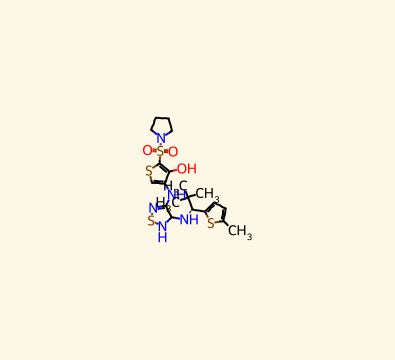 Cc1ccc([C@H](NC2NSN=C2Nc2csc(S(=O)(=O)N3CCCC3)c2O)C(C)(C)C)s1